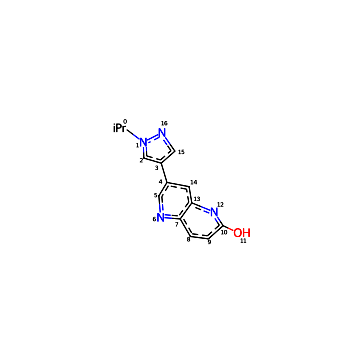 CC(C)n1cc(-c2cnc3ccc(O)nc3c2)cn1